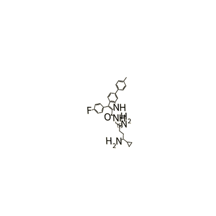 Cc1ccc(-c2ccc3c(-c4ccc(F)cc4)c(C(=O)NC[C@@H](N)CCC(N)C4CC4)[nH]c3c2)cc1